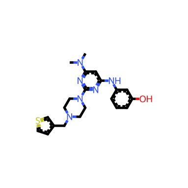 CN(C)c1cc(Nc2cccc(O)c2)nc(N2CCN(Cc3ccsc3)CC2)n1